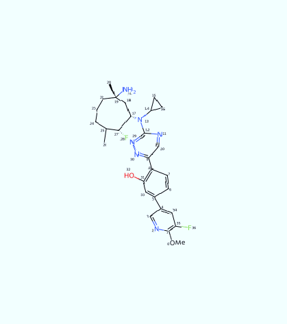 COc1ncc(-c2ccc(-c3cnc(N(C4CC4)[C@H]4C[C@@](C)(N)CCCC(C)[C@H]4F)nn3)c(O)c2)cc1F